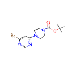 CC(C)(C)OC(=O)N1CCN(c2cc(Br)ncn2)CC1